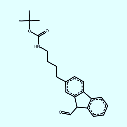 CC(C)(C)OC(=O)NCCCCc1ccc2c(c1)C(C=O)c1ccccc1-2